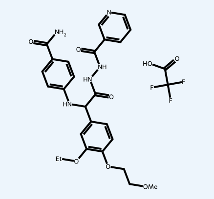 CCOc1cc(C(Nc2ccc(C(N)=O)cc2)C(=O)NNC(=O)c2cccnc2)ccc1OCCOC.O=C(O)C(F)(F)F